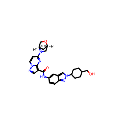 O=C(Nc1ccc2nn(C3CCC(CO)CC3)cc2c1)c1cnn2ccc(N3C[C@H]4C[C@@H]3CO4)nc12